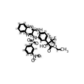 CCOC(=O)C(O)(c1ccc(Nc2nc3ccccc3nc2NS(=O)(=O)c2cccc([N+](=O)[O-])c2)cc1)C(F)(F)F